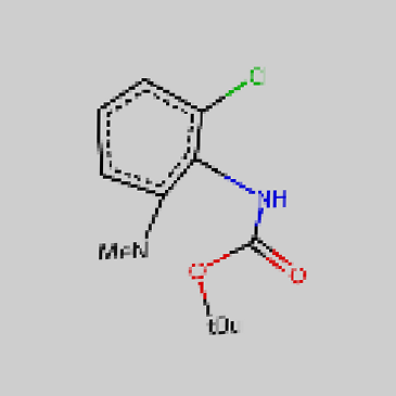 CNc1cccc(Cl)c1NC(=O)OC(C)(C)C